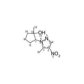 Cc1c([N+](=O)[O-])cnn1C1CCCC1(C)O